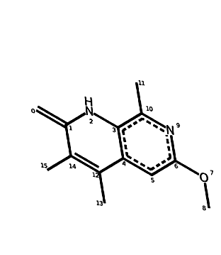 C=C1Nc2c(cc(OC)nc2C)C(C)=C1C